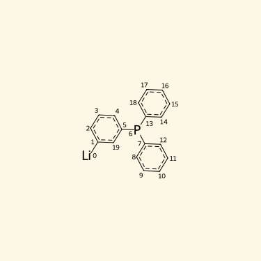 [Li][c]1cccc(P(c2ccccc2)c2ccccc2)c1